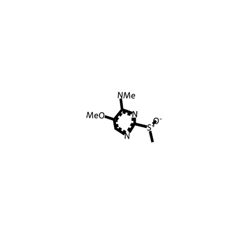 CNc1nc([S+](C)[O-])ncc1OC